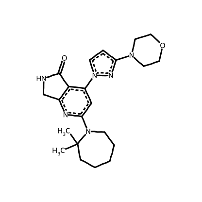 CC1(C)CCCCCN1c1cc(-n2ccc(N3CCOCC3)n2)c2c(n1)CNC2=O